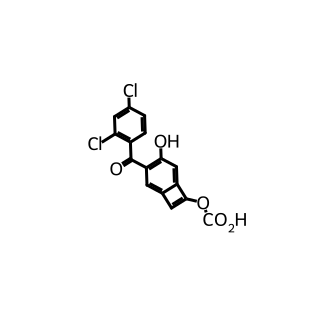 O=C(O)OC1=Cc2cc(C(=O)c3ccc(Cl)cc3Cl)c(O)cc21